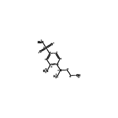 CNS(=O)(=O)c1ccc(N(C)CCO)c([N+](=O)[O-])c1